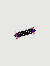 CC(C)N1C(=O)c2ccc3c4ccc5c6ccc7c8ccc9c%10c(ccc(c%11ccc(c%12ccc(c%13ccc(c2c3%13)C1=O)c4c5%12)c6c7%11)c%108)C(=O)N(C(C)C)C9=O